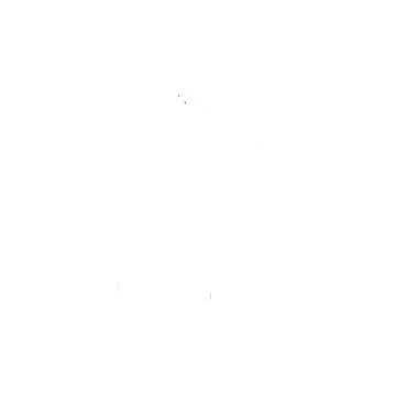 CCC(CC)CCC(C)CN